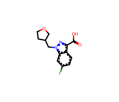 O=C(O)c1nn(CC2CCOC2)c2cc(F)ccc12